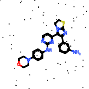 Nc1cccc(-c2nc3n(c2-c2ccnc(Nc4ccc(N5CCOCC5)cc4)n2)CCS3)c1